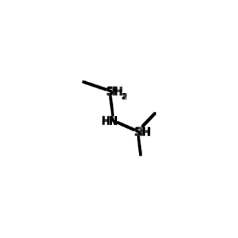 C[SiH2]N[SiH](C)C